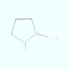 ON1CCCN1